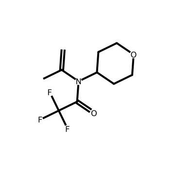 C=C(C)N(C(=O)C(F)(F)F)C1CCOCC1